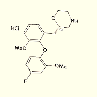 COc1cc(F)ccc1Oc1c(C[C@H]2CNCCO2)cccc1OC.Cl